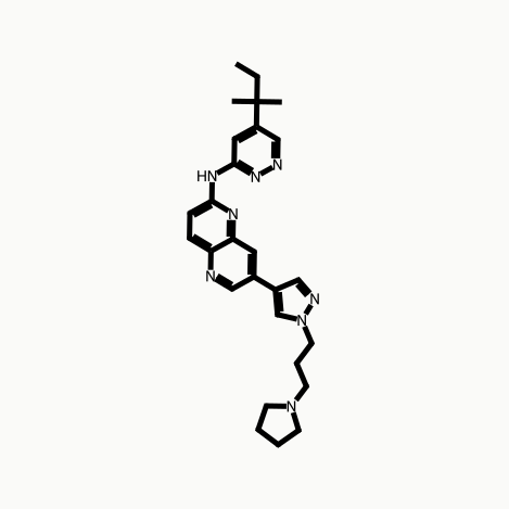 CCC(C)(C)c1cnnc(Nc2ccc3ncc(-c4cnn(CCCN5CCCC5)c4)cc3n2)c1